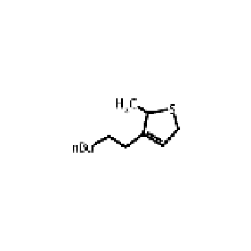 CCCCCCC1=CCSC1C